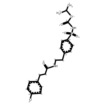 CC(C)OC(=O)NS(=O)(=O)c1ccc(CCNC(=O)CCc2ccc(Cl)cc2)cc1